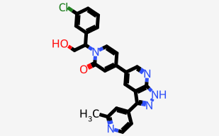 Cc1cc(-c2n[nH]c3ncc(-c4ccn(C(CO)c5cccc(Cl)c5)c(=O)c4)cc23)ccn1